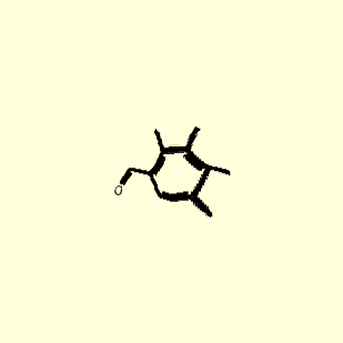 Cc1cc(C=O)c(C)c(C)c1C